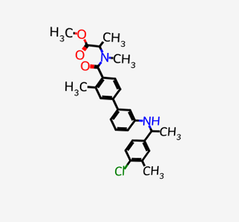 COC(=O)C(C)N(C)C(=O)c1ccc(-c2cccc(NC(C)c3ccc(Cl)c(C)c3)c2)cc1C